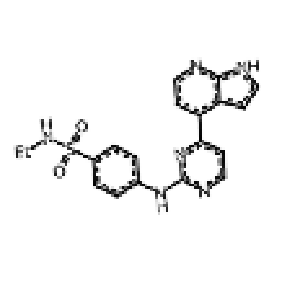 CCNS(=O)(=O)c1ccc(Nc2nccc(-c3ccnc4[nH]ccc34)n2)cc1